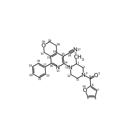 CC1CN(C(=O)c2ccco2)CCN1c1nc(-c2ccccc2)c2c(c1C#N)CCOC2